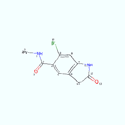 CC(C)NC(=O)c1cc2c(cc1Br)NC(=O)C2